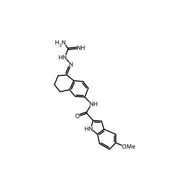 COc1ccc2[nH]c(C(=O)Nc3ccc4c(c3)CCC/C4=N\NC(=N)N)cc2c1